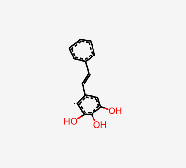 Oc1[c]c(/C=C/c2ccccc2)cc(O)c1O